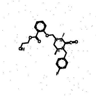 C[C@@H]1C(=C=O)N(Cc2ccc(F)cc2)[C@@H](C)CN1COc1ccccc1C(=O)OCCO